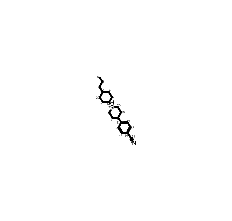 CCCC1CCC([SiH]2CCC(c3ccc(C#N)cc3)CC2)CC1